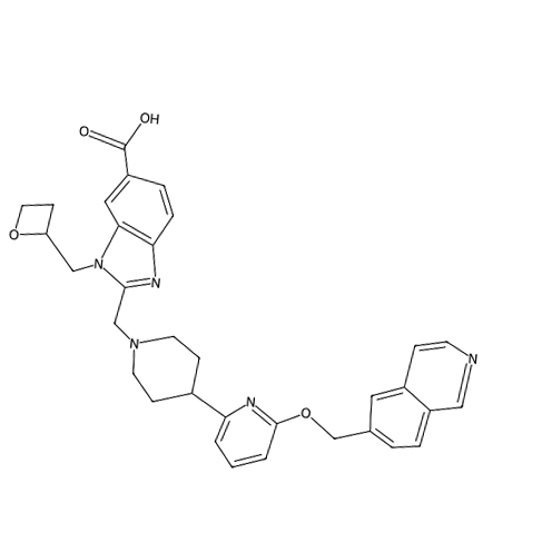 O=C(O)c1ccc2nc(CN3CCC(c4cccc(OCc5ccc6cnccc6c5)n4)CC3)n(CC3CCO3)c2c1